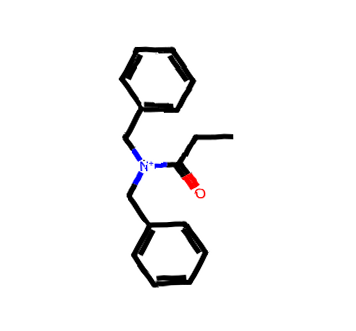 CCC(=O)[N+](Cc1ccccc1)Cc1ccccc1